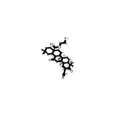 CC1(C)CC[C@]2(C(=O)OCCF)CC[C@]3(C)C(C(=O)C=C4[C@@]5(C)C=C(C#N)C(=O)C(C)(C)[C@@H]5CC[C@]43C)C2C1